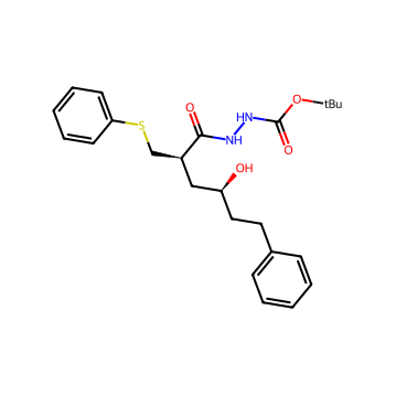 CC(C)(C)OC(=O)NNC(=O)[C@H](CSc1ccccc1)C[C@@H](O)CCc1ccccc1